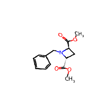 COC(=O)[C@H]1C[C@H](C(=O)OC)N1Cc1ccccc1